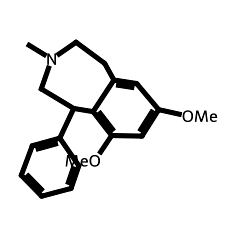 COc1cc2c(c(OC)c1)C(c1ccccc1)CN(C)CC2